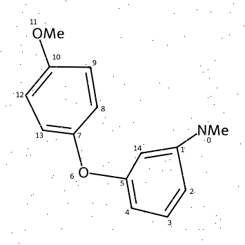 CNc1cccc(Oc2ccc(OC)cc2)c1